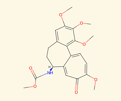 COC(=O)N[C@H]1CCc2cc(OC)c(OC)c(OC)c2-c2ccc(OC)c(=O)cc21